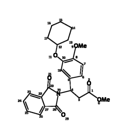 COC(=O)CC(c1ccc(OC)c(OC2CCCCC2)c1)N1C(=O)c2ccccc2C1=O